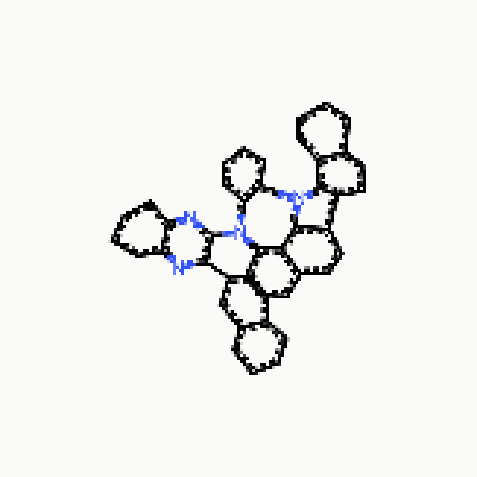 c1ccc2cc(-c3nc4ccccc4nc3-n3c4cccc5ccc6c7ccc8ccccc8c7n(c7ccccc73)c6c54)ccc2c1